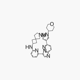 c1cc(NC2CC3(CCNC3)C2)nc(-c2cnc3ccc(-c4cnn(C5CCOCC5)c4)nn23)c1